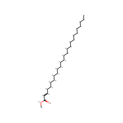 CCCCCCCCCCCCCCCCCCCCCCC/C=C/C(=O)OC